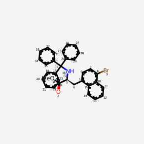 COC(=O)[C@H](Cc1ccc(Br)c2ccccc12)NC(c1ccccc1)(c1ccccc1)c1ccccc1